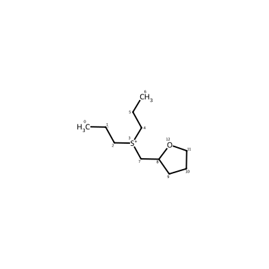 C[CH]C[S+](CCC)CC1CCCO1